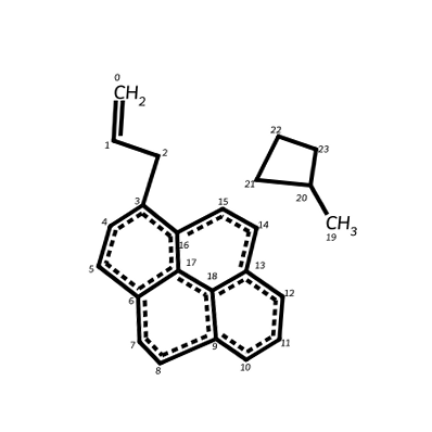 C=CCc1ccc2ccc3cccc4ccc1c2c34.CC1CCC1